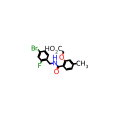 Cc1ccc(C(=O)NCc2ccc(Br)cc2F)c(OCC(=O)O)c1